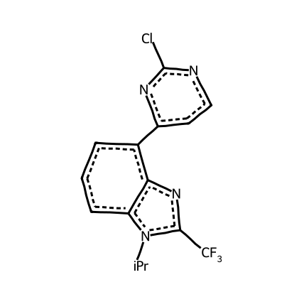 CC(C)n1c(C(F)(F)F)nc2c(-c3ccnc(Cl)n3)cccc21